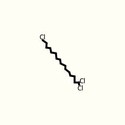 ClCCCCCCCCCCCCCCCC(Cl)Cl